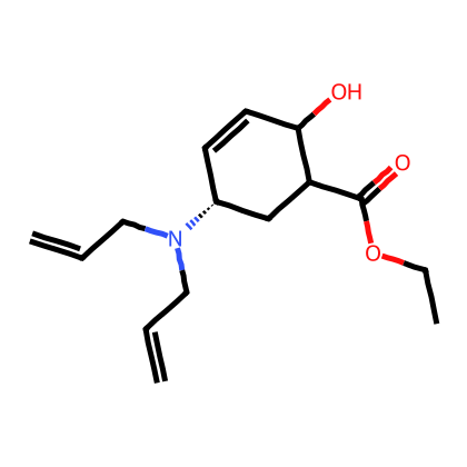 C=CCN(CC=C)[C@@H]1C=CC(O)C(C(=O)OCC)C1